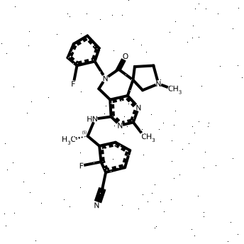 Cc1nc(N[C@@H](C)c2cccc(C#N)c2F)c2c(n1)C1(CCN(C)C1)C(=O)N(c1ccccc1F)C2